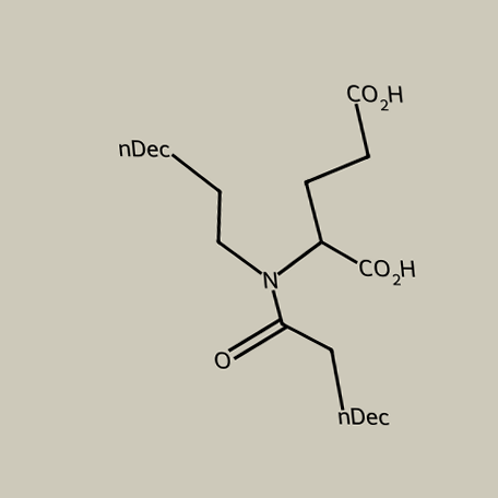 CCCCCCCCCCCCN(C(=O)CCCCCCCCCCC)C(CCC(=O)O)C(=O)O